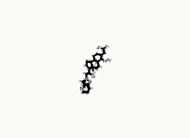 CCCC1C(CC(F)F)CCC2C1CCC1(C)C(C(=O)Cn3cc4ncccc4n3)CCC21